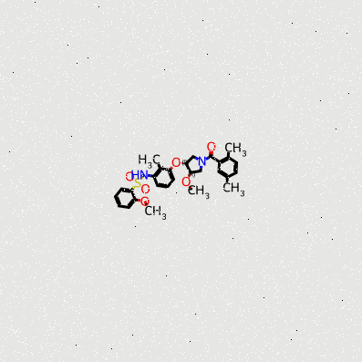 COc1ccccc1S(=O)(=O)Nc1cccc(O[C@@H]2CN(C(=O)c3cc(C)ccc3C)C[C@H]2OC)c1C